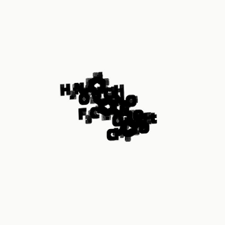 CCS(=O)(=O)c1ccc(Cl)cc1Cn1c(=O)[nH]c2c(Cl)c(CN3CCCC[C@H]3C(N)=O)c(C(F)(F)F)cc2c1=O